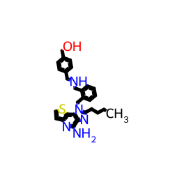 CCCCc1nc2c(N)nc3ccsc3c2n1Cc1ccccc1CNCc1ccc(CO)cc1